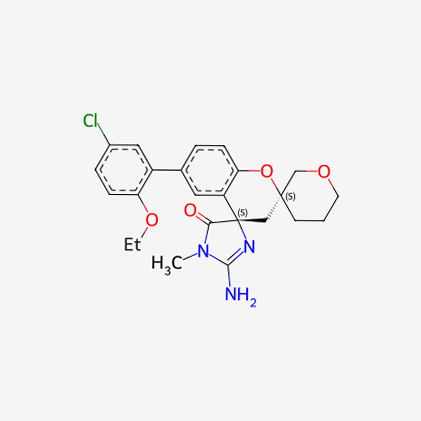 CCOc1ccc(Cl)cc1-c1ccc2c(c1)[C@]1(C[C@]3(CCCOC3)O2)N=C(N)N(C)C1=O